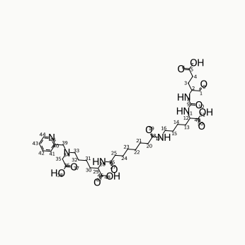 O=CC(CCC(=O)O)NC(=O)NC(CCCCNC(=O)CCCCCCC(=O)NC(CCCCN(CC(=O)O)Cc1ccccn1)C(=O)O)C(=O)O